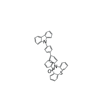 O=P1(c2ccccc2)c2ccccc2Sc2ccccc2N1c1ccc(-c2ccc(-n3c4ccccc4c4ccccc43)cc2)cc1